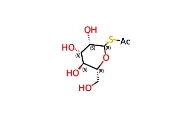 CC(=O)S[C@H]1O[C@H](CO)[C@@H](O)[C@H](O)[C@@H]1O